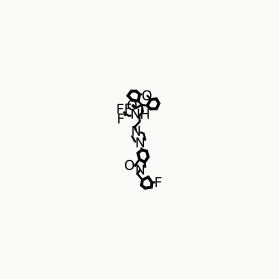 O=C1c2cc(N3CCN(CCCCC4(C(=O)NCC(F)(F)F)c5ccccc5Oc5ccccc54)CC3)ccc2CN1Cc1cccc(F)c1